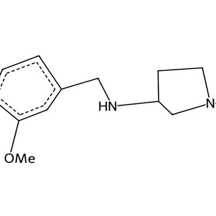 COc1cccc(CNC2CC[N]C2)c1